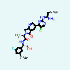 CN/C=C(\N)Nc1ncc(Cl)c(-c2cnc3c(c2)C(=O)N([C@H](C)C(=O)N[C@H](CO)c2cc(F)cc(OC)c2)C3)n1